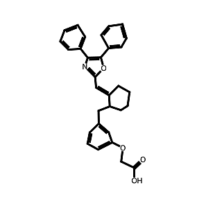 O=C(O)COc1cccc(CC2CCCCC2=Cc2nc(-c3ccccc3)c(-c3ccccc3)o2)c1